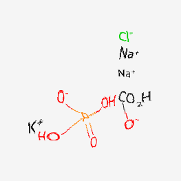 O=C([O-])O.O=P([O-])(O)O.[Cl-].[K+].[Na+].[Na+]